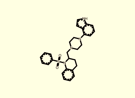 O=S(=O)(c1ccccc1)N1c2ccccc2CCC1CN1CCN(c2cccc3[nH]ccc23)CC1